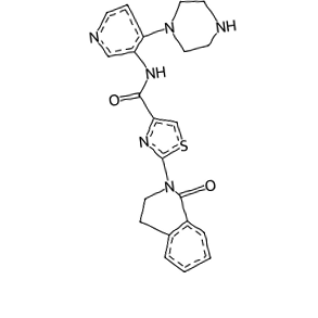 O=C(Nc1cnccc1N1CCNCC1)c1csc(N2CCc3ccccc3C2=O)n1